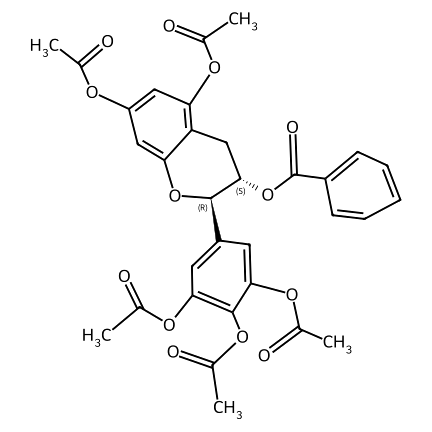 CC(=O)Oc1cc(OC(C)=O)c2c(c1)O[C@H](c1cc(OC(C)=O)c(OC(C)=O)c(OC(C)=O)c1)[C@@H](OC(=O)c1ccccc1)C2